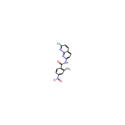 Cc1cc([N+](=O)[O-])ccc1C(=O)Nc1ccc2ccc(Cl)nc2n1